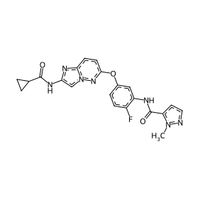 Cn1nccc1C(=O)Nc1cc(Oc2ccc3nc(NC(=O)C4CC4)cn3n2)ccc1F